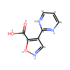 O=C(O)c1oncc1-c1ncccn1